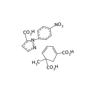 CC1(C(=O)O)C=CC=C(C(=O)O)C1.O=C(O)c1ccnn1-c1ccc([N+](=O)[O-])cc1